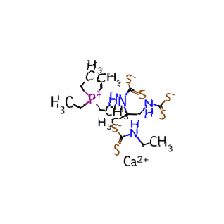 CC(CNC(=S)[S-])NC(=S)[S-].CCNC(=S)[S-].CC[P+](CC)(CC)CC.[Ca+2]